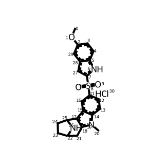 COc1ccc2[nH]c(S(=O)(=O)c3ccc4c(c3)c3c(n4C)CC4CCC3N4)cc2c1.Cl